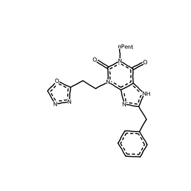 CCCCCn1c(=O)c2[nH]c(Cc3ccccc3)nc2n(CCc2nnco2)c1=O